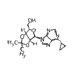 CC1(C)O[C@@H]2[C@H](O1)[C@@H](CO)O[C@H]2n1cnc2c(C3CC3)ncnc21